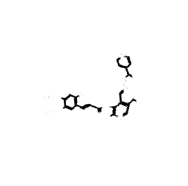 COc1cc(N)c(/C=C/C(=O)Oc2c(C)ncc(CO)c2/C=N/NC(=O)c2ccncc2)cc1OC